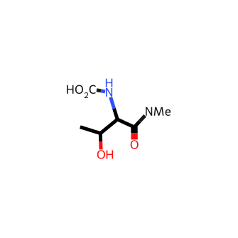 CNC(=O)C(NC(=O)O)C(C)O